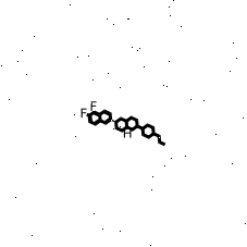 CCCC1CCC(C2CCC3C[C@H](c4ccc5c(F)c(F)ccc5c4)CC[C@@H]3C2)CC1